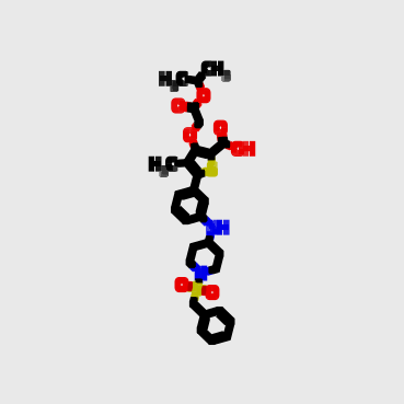 Cc1c(-c2cccc(NC3CCN(S(=O)(=O)Cc4ccccc4)CC3)c2)sc(C(=O)O)c1OCC(=O)OC(C)C